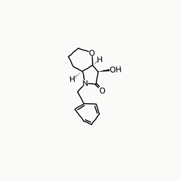 O=C1[C@H](O)[C@@H]2OCCC[C@@H]2N1Cc1ccccc1